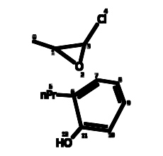 CC1OC1Cl.CCCc1ccccc1O